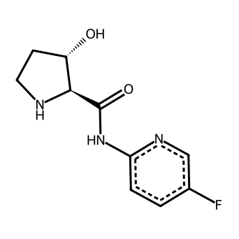 O=C(Nc1ccc(F)cn1)[C@H]1NCC[C@@H]1O